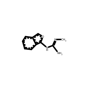 CN=C(N)Nc1occ2ccccc12